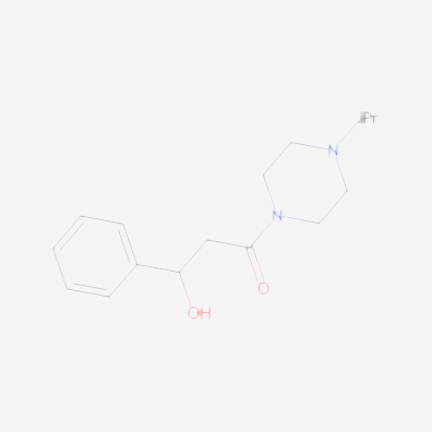 CC(C)N1CCN(C(=O)CC(O)c2ccccc2)CC1